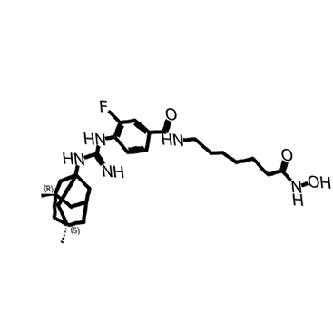 C[C@]12CC3CC(NC(=N)Nc4ccc(C(=O)NCCCCCCC(=O)NO)cc4F)(C1)C[C@@](C)(C3)C2